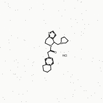 Cl.O=C(Cc1ccc2c(c1)CCCC2)N1CCc2sccc2C1CN1CCCC1